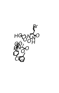 C[C@H](NP(=O)(OC[C@H]1O[C@@H](n2cc(/C=C/Br)c(=O)[nH]c2=O)CC1O)Oc1ccc(C(F)(F)F)cc1)C(=O)OCc1ccccc1